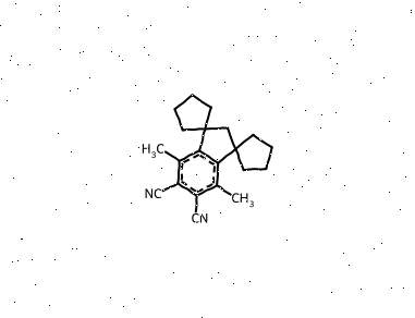 Cc1c(C#N)c(C#N)c(C)c2c1C1(CCCC1)CC21CCCC1